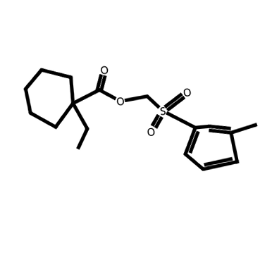 CCC1(C(=O)OCS(=O)(=O)c2cccc(C)c2)CCCCC1